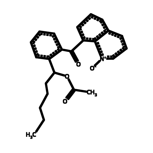 CCCCCC(OC(C)=O)c1ccccc1C(=O)c1cccc2ccc[n+]([O-])c12